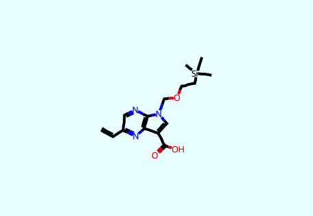 C=Cc1cnc2c(n1)c(C(=O)O)cn2COCC[Si](C)(C)C